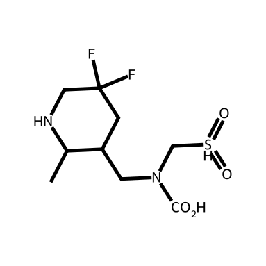 CC1NCC(F)(F)CC1CN(C[SH](=O)=O)C(=O)O